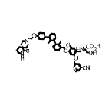 Cc1c(COc2cc(OCc3cncc(C#N)c3)c(CNC(CO)C(=O)O)cc2Cl)cccc1-c1cccc(-c2ccc(OCCN3CCC4(CCCNC4=O)CC3)cc2)c1C